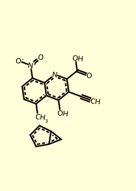 C#Cc1c(C(=O)O)nc2c([N+](=O)[O-])ccc(C)c2c1O.c1cc2cc-2c1